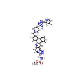 CC(C)(C)OC(=O)NCc1nnc2c3cc(-c4ccccc4)c(-c4ccc(CN5CCC(c6nnc(-c7ccccn7)[nH]6)CC5)cc4)nc3ccn12